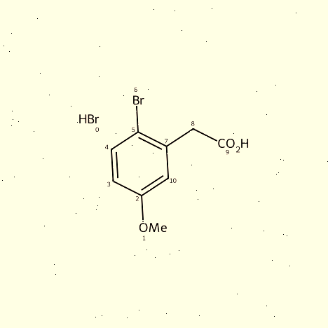 Br.COc1ccc(Br)c(CC(=O)O)c1